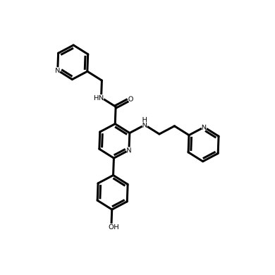 O=C(NCc1cccnc1)c1ccc(-c2ccc(O)cc2)nc1NCCc1ccccn1